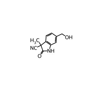 CC1(C#N)C(=O)Nc2cc(CO)ccc21